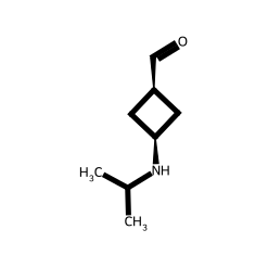 CC(C)N[C@H]1C[C@@H](C=O)C1